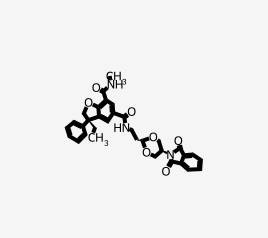 CC[C@@]1(c2ccccc2)COc2c(C(=O)NC)cc(C(=O)NCC[C@H]3OC[C@H](N4C(=O)c5ccccc5C4=O)CO3)cc21